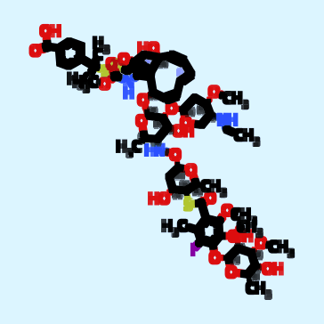 CCN[C@H]1CO[C@@H](O[C@H]2[C@H](O[C@H]3C#C/C=C/C#C[C@]4(O)CC(=O)C(NC(=O)OC)=C3/C4=C\CSSC(C)(C)c3ccc(C(=O)O)cc3)O[C@H](C)[C@@H](NO[C@H]3C[C@H](O)[C@H](SC(=O)c4c(C)c(I)c(O[C@@H]5O[C@@H](C)[C@H](O)[C@@H](OC)[C@H]5O)c(OC)c4OC)[C@@H](C)O3)[C@@H]2O)C[C@@H]1OC